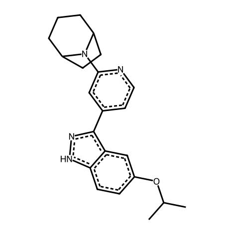 CC(C)Oc1ccc2[nH]nc(-c3ccnc(N4C5CCCC4CC5)c3)c2c1